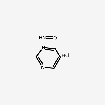 Cl.N=O.c1cncnc1